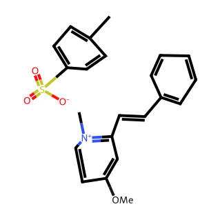 COc1cc[n+](C)c(C=Cc2ccccc2)c1.Cc1ccc(S(=O)(=O)[O-])cc1